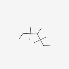 CCC(C)(C)C(C)C(C)(C)CC